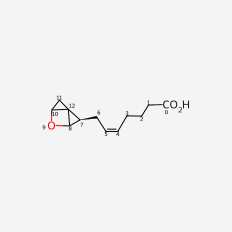 O=C(O)CCC/C=C\C[C@H]1C2OC3CC321